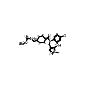 Cn1ncc2c1Nc1cc(Cl)ccc1N(C(=O)C1CCC(CNC(=O)OC(C)(C)C)CC1)C2